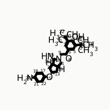 CC(C)(C)c1cc(C(=O)CN2C[C@@H]3C[C@@H](Oc4ccc(N)cc4)C[C@@H]3C2=N)cc(C(C)(C)C)c1O